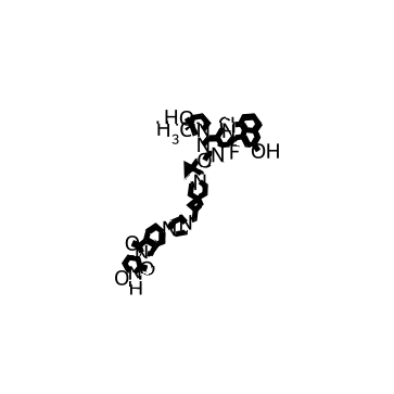 C[C@@]1(O)CCCN(c2nc(OCC3(CN4CCC5(CC4)CC(CN4CCN(c6ccc7c(c6)CN([C@H]6CCC(=O)NC6=O)C7=O)CC4)C5)CC3)nc3c(F)c(-c4cc(O)cc5cccc(Cl)c45)ncc23)C1